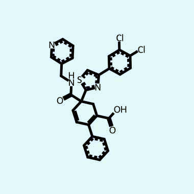 O=C(O)C1=C(c2ccccc2)C=CC(C(=O)NCc2cccnc2)(c2nc(-c3ccc(Cl)c(Cl)c3)cs2)C1